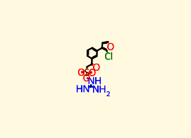 N=C(N)NOS(=O)(=O)CC(=O)c1cccc(-c2ccoc2Cl)c1